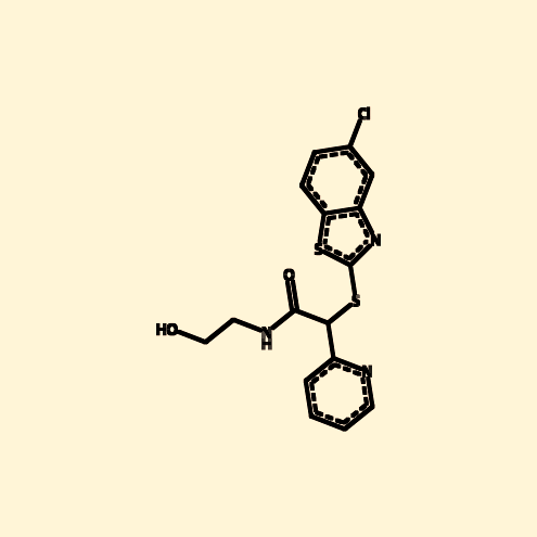 O=C(NCCO)C(Sc1nc2cc(Cl)ccc2s1)c1ccccn1